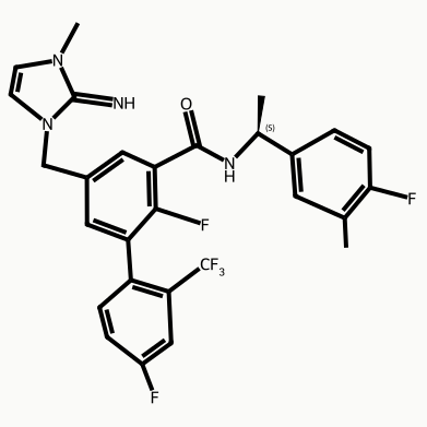 Cc1cc([C@H](C)NC(=O)c2cc(Cn3ccn(C)c3=N)cc(-c3ccc(F)cc3C(F)(F)F)c2F)ccc1F